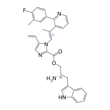 C=Cc1cnc(C(=O)OC[C@@H](N)Cc2c[nH]c3ccccc23)n1/C=C(\C)c1cccnc1-c1ccc(F)c(C)c1